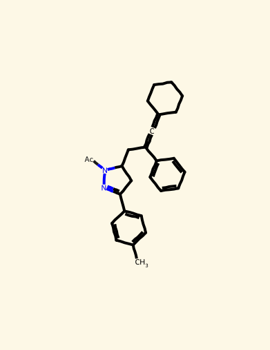 CC(=O)N1N=C(c2ccc(C)cc2)CC1CC(=C=C1CCCCC1)c1ccccc1